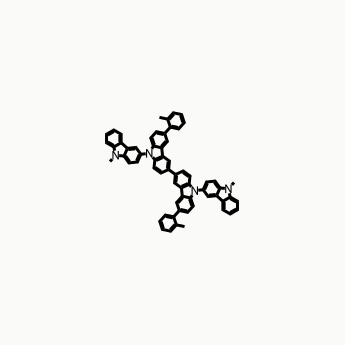 Cc1ccccc1-c1ccc2c(c1)c1cc(-c3ccc4c(c3)c3cc(-c5ccccc5C)ccc3n4-c3ccc4c(c3)c3ccccc3n4C)ccc1n2-c1ccc2c(c1)c1ccccc1n2C